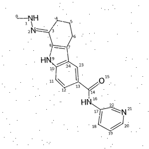 CNN=C1CCCc2c1[nH]c1ccc(C(=O)Nc3cccnc3)cc21